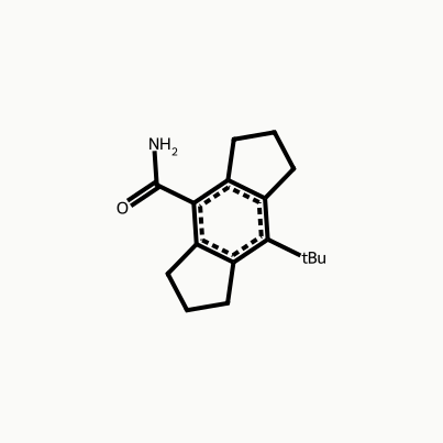 CC(C)(C)c1c2c(c(C(N)=O)c3c1CCC3)CCC2